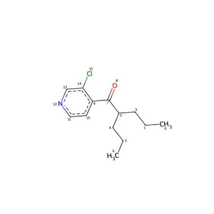 CCCC(CCC)C(=O)c1ccncc1Cl